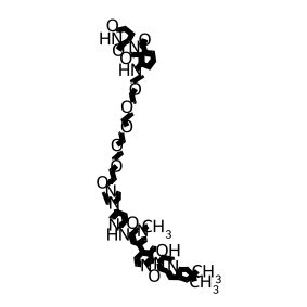 Cn1cc(-c2ccnc(N3CCn4c(cc5c4CC(C)(C)C5)C3=O)c2CO)cc(Nc2ccc(N3CCN(C(=O)CCOCCOCCOCCOCCOCCNc4cccc5c4C(=O)N(C4CCC(=O)NC4=O)C5=O)CC3)cn2)c1=O